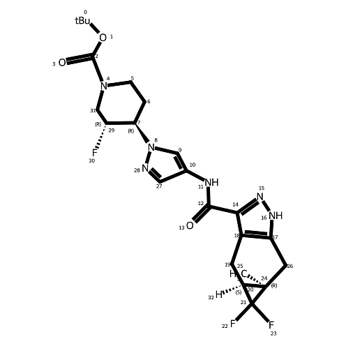 CC(C)(C)OC(=O)N1CC[C@@H](n2cc(NC(=O)c3n[nH]c4c3C[C@@H]3C(F)(F)[C@]3(C)C4)cn2)[C@H](F)C1